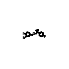 Fc1ccc(C2(COCc3ccc(F)c(Br)c3)CC2)cc1